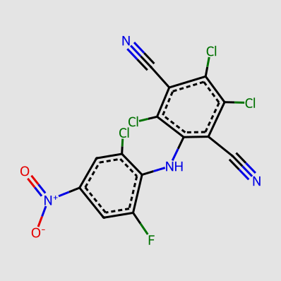 N#Cc1c(Cl)c(Cl)c(C#N)c(Nc2c(F)cc([N+](=O)[O-])cc2Cl)c1Cl